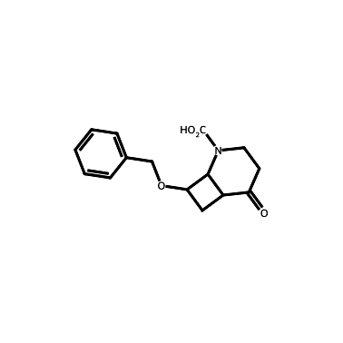 O=C1CCN(C(=O)O)C2C(OCc3ccccc3)CC12